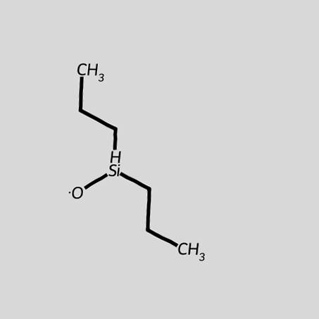 CCC[SiH]([O])CCC